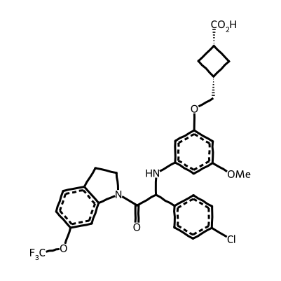 COc1cc(NC(C(=O)N2CCc3ccc(OC(F)(F)F)cc32)c2ccc(Cl)cc2)cc(OC[C@H]2C[C@@H](C(=O)O)C2)c1